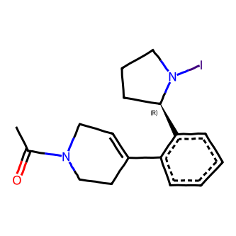 CC(=O)N1CC=C(c2ccccc2[C@H]2CCCN2I)CC1